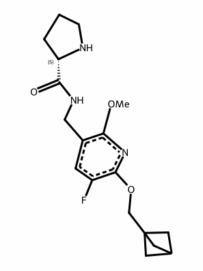 COc1nc(OCC23CC(C2)C3)c(F)cc1CNC(=O)[C@@H]1CCCN1